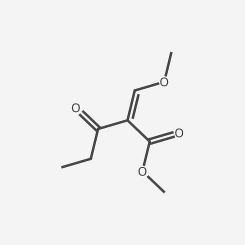 CCC(=O)/C(=C/OC)C(=O)OC